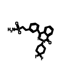 NS(=O)(=O)CCc1cccc(-c2nn(C3CCC(F)(F)CC3)c(=O)c3ccccc23)c1